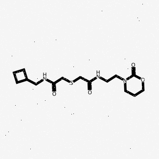 O=C(CSCC(=O)NCC1CCC1)NCCN1CCCOC1=O